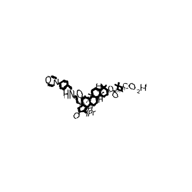 CC(C)C1=C2[C@H]3CC[C@@H]4[C@@]5(C)CC[C@H](OC(=O)[C@H]6C[C@@H](C(=O)O)C6(C)C)C(C)(C)[C@@H]5CC[C@@]4(C)[C@]3(C)CC[C@@]2(CC(=O)NCc2ccc(N3CCOCC3)cc2)CC1=O